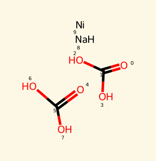 O=C(O)O.O=C(O)O.[NaH].[Ni]